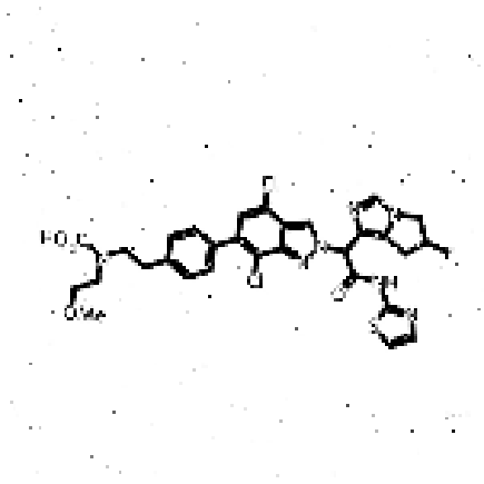 COCCN(CCc1ccc(-c2cc(Cl)c3cn(C(C(=O)Nc4nccs4)c4ncn5c4CC(F)C5)nc3c2Cl)cc1)C(=O)O